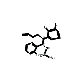 C=CCC[C@@H](c1cccc(F)c1F)[C@H](N[S+]([O-])C(C)(C)C)c1nccnc1Br